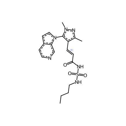 CCCCNS(=O)(=O)NC(=O)/C=C/c1c(C)nn(C)c1-n1ccc2ccncc21